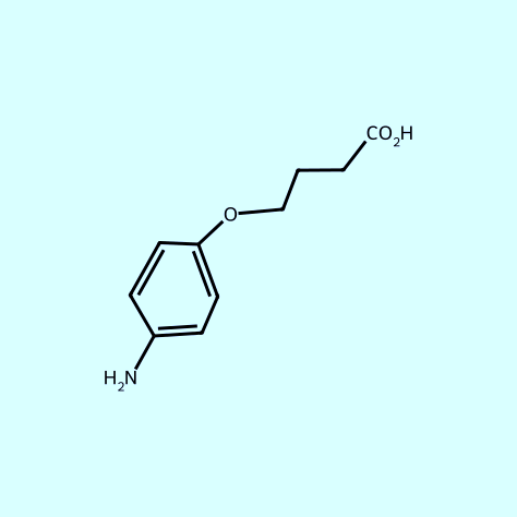 Nc1ccc(OCCCC(=O)O)cc1